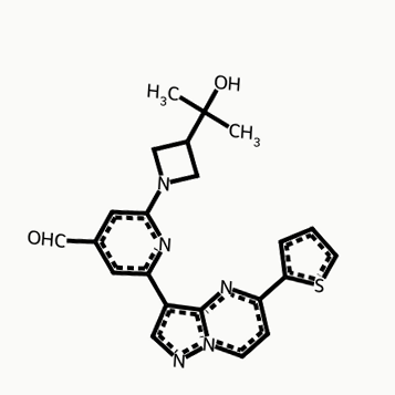 CC(C)(O)C1CN(c2cc(C=O)cc(-c3cnn4ccc(-c5cccs5)nc34)n2)C1